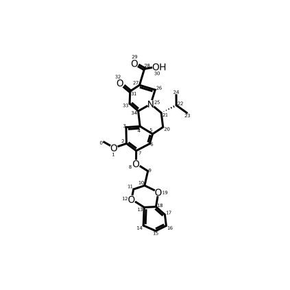 COc1cc2c(cc1OCC1COc3ccccc3O1)C[C@@H](C(C)C)n1cc(C(=O)O)c(=O)cc1-2